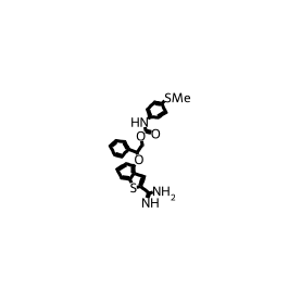 CSc1ccc(NC(=O)OCC(Oc2cccc3sc(C(=N)N)cc23)c2ccccc2)cc1